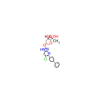 CC(C)(O)[C@H]1OC[C@H](Oc2nc3nc(-c4ccc(-c5ccccc5)cc4)c(Cl)cc3[nH]2)C[C@@H]1O